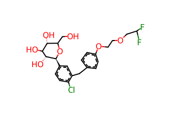 OCC1O[C@@H](c2ccc(Cl)c(Cc3ccc(OCCOCC(F)F)cc3)c2)[C@H](O)C(O)[C@@H]1O